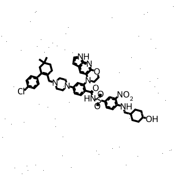 CC1(C)CCC(CN2CCN(c3ccc(C(=O)NS(=O)(=O)c4ccc(NCC5CCC(O)CC5)c([N+](=O)[O-])c4)c(N4CCOc5nc6[nH]ccc6cc54)c3)CC2)=C(c2ccc(Cl)cc2)C1